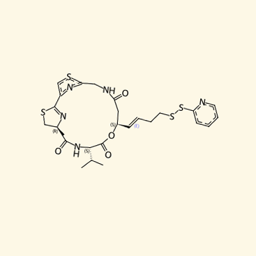 CC(C)[C@@H]1NC(=O)[C@]2(C)CSC(=N2)c2csc(n2)CNC(=O)C[C@@H](/C=C/CCSSc2ccccn2)OC1=O